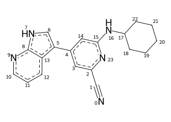 N#Cc1cc(-c2c[nH]c3ncccc23)cc(NC2CCCCC2)n1